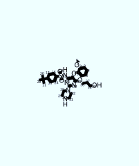 COc1ccccc1Oc1c(NS(=O)(=O)c2ccc(C(C)(C)C)cc2)nc(N2CCNCC2)nc1OCCCO